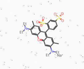 CCN(CC)c1cc2[o+]c3cc(N(CC)CC)c(C)cc3c(-c3ccc(S(=O)(=O)[O-])cc3S(=O)(=O)[O-])c2cc1C.[Na+]